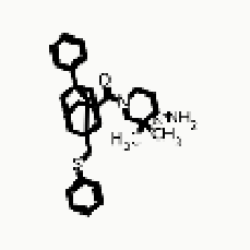 CC1(C)CN(C(=O)C23CC4CC(CSc5ccccc5)(C2)CC(c2ccccc2)(C4)C3)CC[C@@H]1N